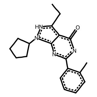 CCc1[nH]n(C2CCCC2)c2nc(-c3ccccc3C)nc(=O)c1-2